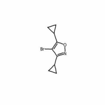 Brc1c(C2CC2)noc1C1CC1